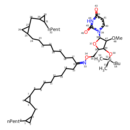 CCCCCC1CC1CC1CC1CCCCCCCCC(CCCCCCCCC1CC1CC1CC1CCCCC)=NOC[C@H]1O[C@@H](n2ccc(=O)[nH]c2=O)C(OC)C1O[Si](C)(C)C(C)(C)C